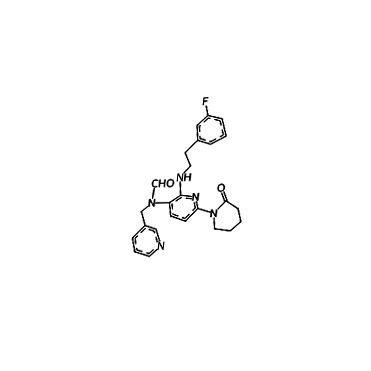 O=CN(Cc1cccnc1)c1ccc(N2CCCCC2=O)nc1NCCc1cccc(F)c1